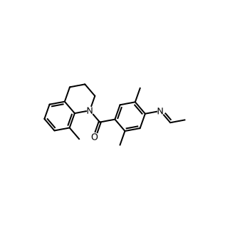 C/C=N/c1cc(C)c(C(=O)N2CCCc3cccc(C)c32)cc1C